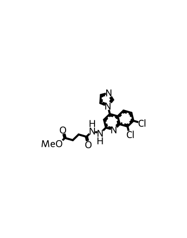 COC(=O)CCC(=O)NNc1cc(-n2ccnc2)c2ccc(Cl)c(Cl)c2n1